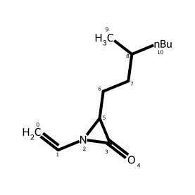 C=CN1C(=O)C1CCC(C)CCCC